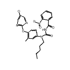 CCCCCN(C(=O)NC(=O)c1ccccc1[N+](=O)[O-])c1ccc(Oc2ncc(Cl)cn2)c(C)c1